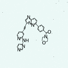 O=C(c1ccc(-c2ccc3ncc(C#Cc4ccnc(Nc5ccncn5)c4)n3n2)cc1)N1CCOCC1